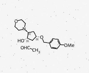 CC=O.COc1ccc(CO[C@@H]2C[C@H](O)[C@@H](N3CCOCC3)C2)cc1